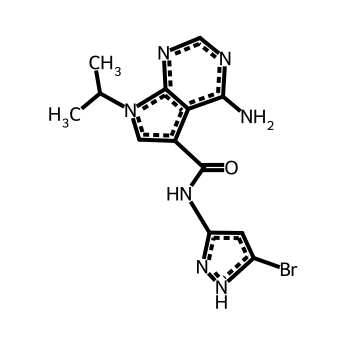 CC(C)n1cc(C(=O)Nc2cc(Br)[nH]n2)c2c(N)ncnc21